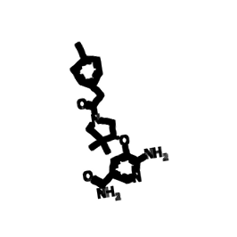 Cc1ccc(CC(=O)N2C[C@H](Oc3cc(C(N)=O)cnc3N)C(C)(C)C2)cc1